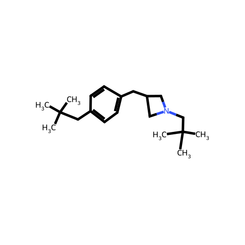 CC(C)(C)Cc1ccc(CC2CN(CC(C)(C)C)C2)cc1